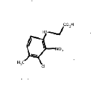 Cc1ccc(NCC(=O)O)c([N+](=O)[O-])c1Cl